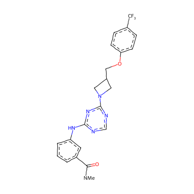 CNC(=O)c1cccc(Nc2ncnc(N3CC(COc4ccc(C(F)(F)F)cc4)C3)n2)c1